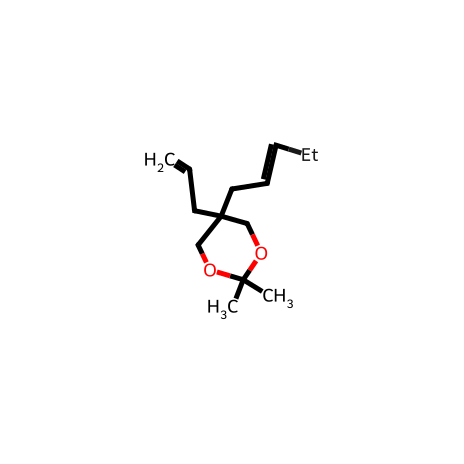 C=CCC1(C/C=C/CC)COC(C)(C)OC1